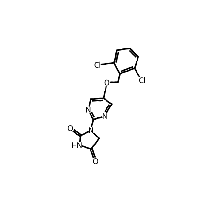 O=C1CN(c2ncc(OCc3c(Cl)cccc3Cl)cn2)C(=O)N1